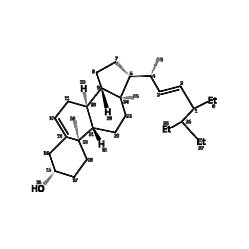 CCC(/C=C/[C@@H](C)[C@H]1CC[C@H]2[C@@H]3CC=C4C[C@@H](O)CC[C@]4(C)[C@H]3CC[C@]12C)C(CC)CC